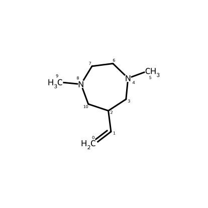 C=CC1CN(C)CCN(C)C1